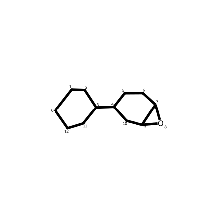 C1CCC(C2CCC3OC3C2)CC1